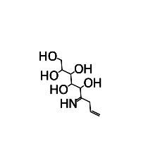 C=CCC(=N)C(O)C(O)C(O)C(O)CO